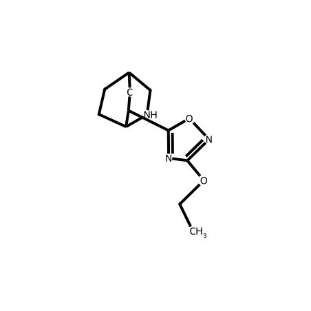 CCOc1noc(C2CC3CCC2NC3)n1